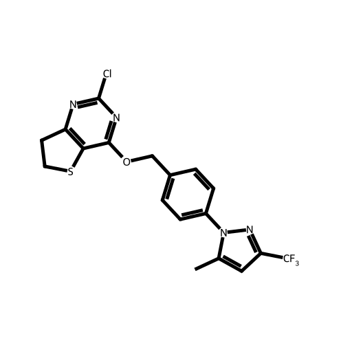 Cc1cc(C(F)(F)F)nn1-c1ccc(COc2nc(Cl)nc3c2SCC3)cc1